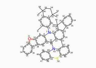 Cc1cc2c(cc1N1c3cc4oc5ccccc5c4cc3B3c4c(cc5c(c41)C(C)(C)c1ccccc1-5)-c1cccc4c1N3c1ccccc1S4)C(C)(C)CCC2(C)C